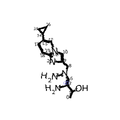 CC(O)/C(N)=C/N(N)Cc1cn2cc(C3CC3)ccc2n1